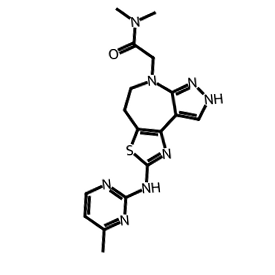 Cc1ccnc(Nc2nc3c(s2)CCN(CC(=O)N(C)C)c2n[nH]cc2-3)n1